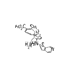 CC1=C(C(=O)O)C=C[C@@](C)(C(CN)C(=O)Nc2cc3ccncc3s2)C1